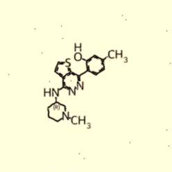 Cc1ccc(-c2nnc(N[C@@H]3CCCN(C)C3)c3ccsc23)c(O)c1